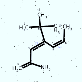 C=C(N)/C=C(\C=C/C)C(C)(C)C